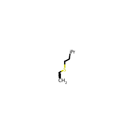 C=CSCCC(C)C